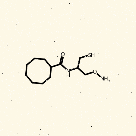 NOCC(CS)NC(=O)C1CCCCCCC1